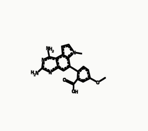 COc1ccc(-c2cc3nc(N)nc(N)c3c3ccn(C)c23)c(C(=O)O)c1